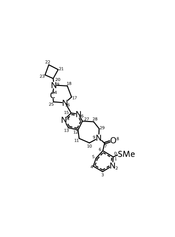 CSc1ncccc1C(=O)N1CCc2cnc(N3CCN(C4CCC4)CC3)nc2CC1